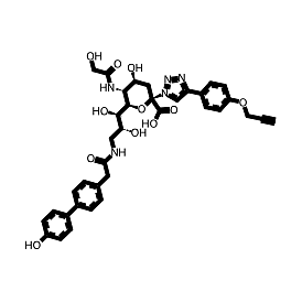 C#CCOc1ccc(-c2cn([C@]3(C(=O)O)C[C@H](O)[C@@H](NC(=O)CO)[C@H]([C@H](O)[C@H](O)CNC(=O)Cc4ccc(-c5ccc(O)cc5)cc4)O3)nn2)cc1